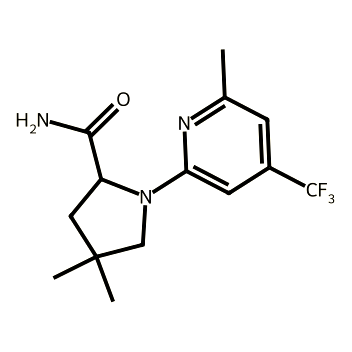 Cc1cc(C(F)(F)F)cc(N2CC(C)(C)CC2C(N)=O)n1